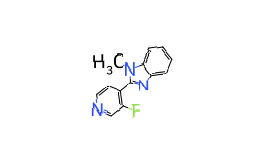 Cn1c(-c2ccncc2F)nc2ccccc21